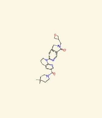 CC1(C)CCN(C(=O)c2cnc3c(c2)CCCN3c2cc3c(cn2)C(=O)N(CC2COC2)C3)CC1